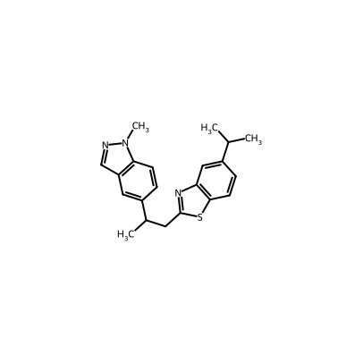 CC(C)c1ccc2sc(CC(C)c3ccc4c(cnn4C)c3)nc2c1